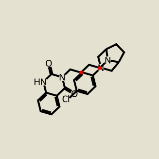 O=c1[nH]c2ccccc2c(=O)n1CCCCN1C2CCC1CN(c1ccc(Cl)cc1)C2